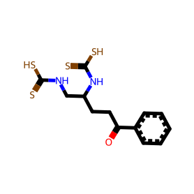 O=C(CCC(CNC(=S)S)NC(=S)S)c1ccccc1